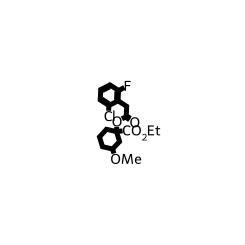 CCOC(=O)C1(OC(=O)Cc2c(F)cccc2Cl)CCCC(OC)C1